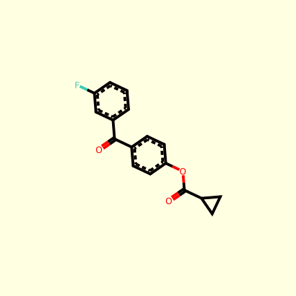 O=C(c1ccc(OC(=O)C2CC2)cc1)c1cccc(F)c1